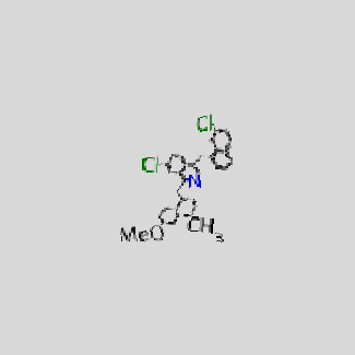 COc1ccc2c(Cc3ncc(Cc4cccc5ccc(Cl)cc45)c4ccc(Cl)cc34)ccc(C)c2c1